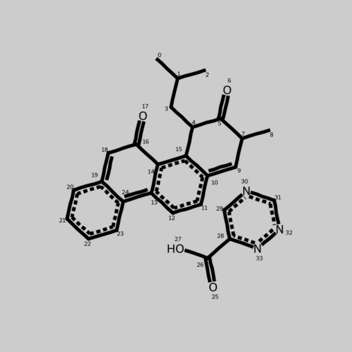 CC(C)CC1C(=O)C(C)C=c2ccc3c(c21)C(=O)C=c1ccccc1=3.O=C(O)c1cncnn1